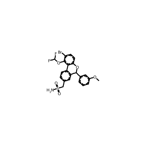 COc1cccc(C2Oc3ccc(Br)c(OC(F)F)c3-c3ccc(CS(N)(=O)=O)cc32)c1